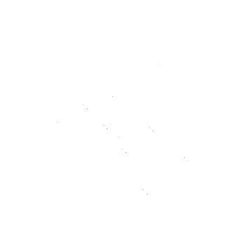 N#Cc1nc2c3cc4ccccc4cc3c3nc4ccccc4n3c2nc1C#N